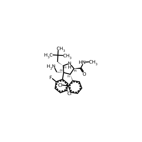 CNC(=O)[C@@H]1N[C@@H](CC(C)(C)C)[C@](CN)(c2cc(Cl)ccc2F)[C@H]1c1ccccc1Cl